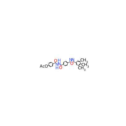 CC(=O)Oc1ccc(C(=O)NNC(=O)c2ccc(-c3nnc(-c4cc(C)c(C)c(C)c4)o3)cc2)cc1